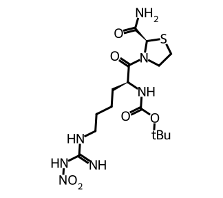 CC(C)(C)OC(=O)N[C@@H](CCCCNC(=N)N[N+](=O)[O-])C(=O)N1CCS[C@@H]1C(N)=O